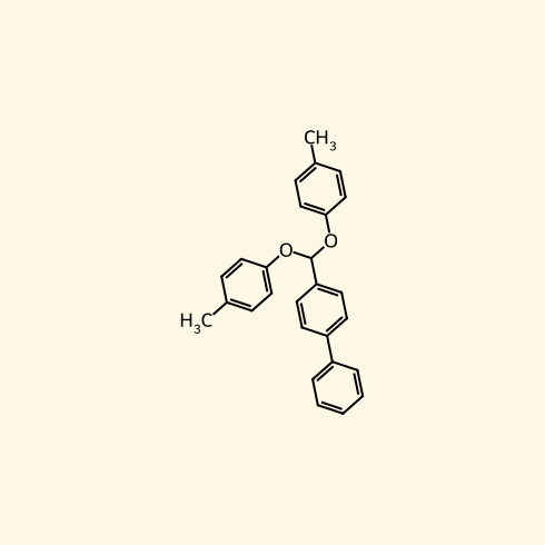 Cc1ccc(OC(Oc2ccc(C)cc2)c2ccc(-c3ccccc3)cc2)cc1